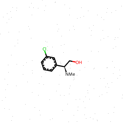 CN[C@H](CO)c1cccc(Cl)c1